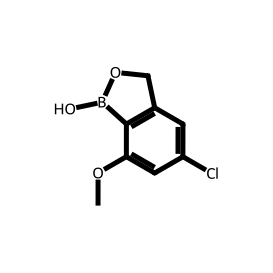 COc1cc(Cl)cc2c1B(O)OC2